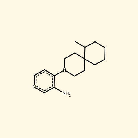 CC1CCCCC12CCN(c1ccncc1N)CC2